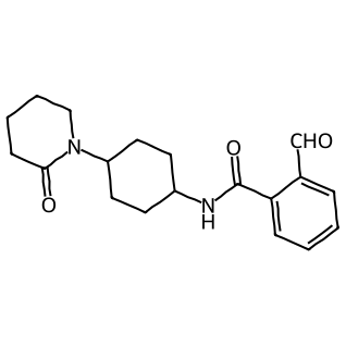 O=Cc1ccccc1C(=O)NC1CCC(N2CCCCC2=O)CC1